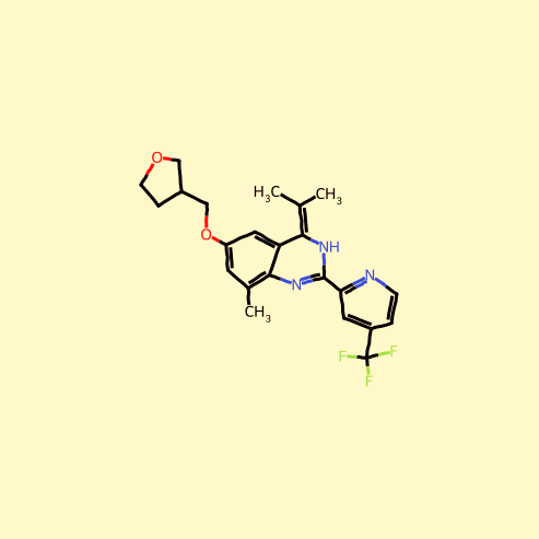 CC(C)=C1NC(c2cc(C(F)(F)F)ccn2)=Nc2c(C)cc(OCC3CCOC3)cc21